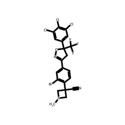 CN1CC(C#N)(c2ccc(C3=NOC(c4cc(Cl)c(Cl)c(Cl)c4)(C(F)(F)F)C3)cc2Br)C1